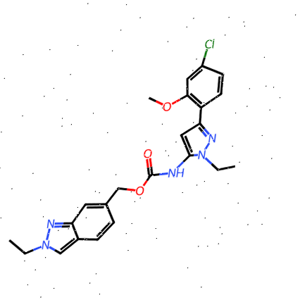 CCn1cc2ccc(COC(=O)Nc3cc(-c4ccc(Cl)cc4OC)nn3CC)cc2n1